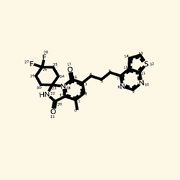 Cc1cc(CCCc2ncnc3sccc23)c(=O)n2c1C(=O)NC21CCC(F)(F)CC1